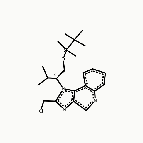 CC(C)[C@@H](CO[Si](C)(C)C(C)(C)C)n1c(CCl)nc2cnc3ccccc3c21